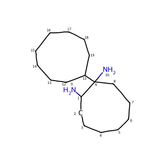 NC1CCCCCCCC1(N)C1CCCCCCCC1